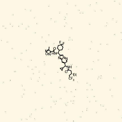 CC[C@@H](CC(=O)NC(c1cnn2cc([C@@H](NC(=O)c3nonc3C)C3CCC(F)(F)CC3)nc2c1)C1CC1)CC(F)(F)F